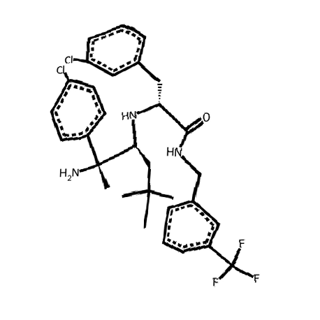 CC(C)(C)C[C@H](N[C@H](Cc1cccc(Cl)c1)C(=O)NCc1cccc(C(F)(F)F)c1)[C@](C)(N)c1ccc(Cl)cc1